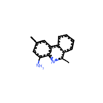 Cc1cc(N)c2nc(C)c3ccccc3c2c1